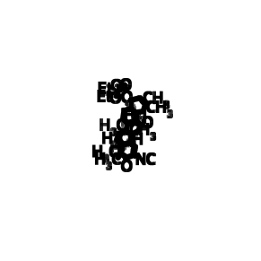 [C-]#[N+]C1=C[C@]2(C)[C@H]3CC(=O)[C@@H]4[C@@H]5CC(C)(C)CC[C@]5(COP(=O)(OCC)OCC)CC[C@@]4(C)[C@]3(C)CC[C@H]2C(C)(C)C1=O